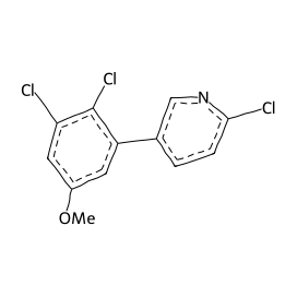 COc1cc(Cl)c(Cl)c(-c2ccc(Cl)nc2)c1